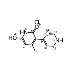 Cc1cc(O)[nH]c(=O)c1C1=CCNC=[C+]1.[Cl-]